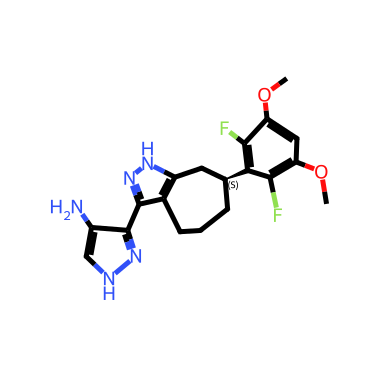 COc1cc(OC)c(F)c([C@H]2CCCc3c(-c4n[nH]cc4N)n[nH]c3C2)c1F